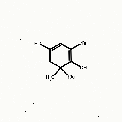 CC(C)(C)C1=C(O)C(C)(C(C)(C)C)CC(O)=C1